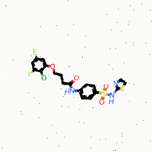 O=C(CCCOc1cc(F)cc(F)c1Cl)Nc1ccc(S(=O)(=O)Nc2nccs2)cc1